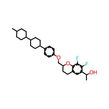 CC1CCC(C2CCC(c3ccc(OCC4CCc5cc(C(C)O)c(F)c(F)c5O4)cc3)CC2)CC1